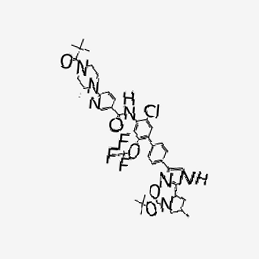 CC1CC(c2nc(-c3ccc(-c4cc(Cl)c(NC(=O)c5ccc(N6CCN(C(=O)C(C)(C)C)C[C@H]6C)nc5)cc4OC(F)(F)F)cc3)c[nH]2)N(C(=O)OC(C)(C)C)C1